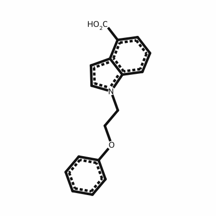 O=C(O)c1cccc2c1ccn2CCOc1ccccc1